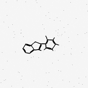 COc1c(C)c(C)c2[nH]c3c(c2c1C)Cc1ccccc1-3